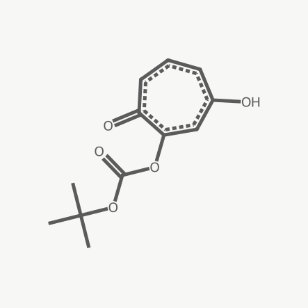 CC(C)(C)OC(=O)Oc1cc(O)cccc1=O